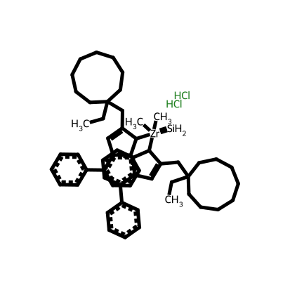 CCC1(CC2=Cc3c(-c4ccccc4)cccc3[CH]2[Zr]([CH3])([CH3])(=[SiH2])[CH]2C(CC3(CC)CCCCCCCC3)=Cc3c(-c4ccccc4)cccc32)CCCCCCCC1.Cl.Cl